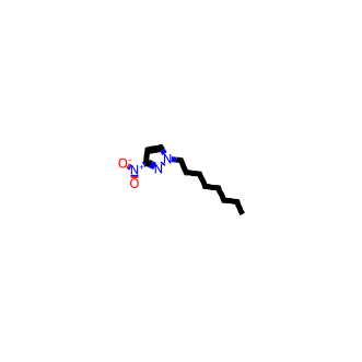 CCCCCCCCn1ccc([N+](=O)[O-])n1